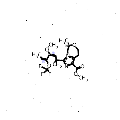 C=C(/C=C(OC)\C(=C/C)OC(F)(F)F)c1nc(C(=O)OC)c2n1C[C@@H](C)OCC2